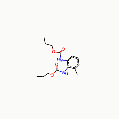 CCCOC(=O)Nc1cccc(C)c1NC(=O)OCCC